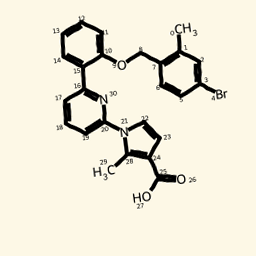 Cc1cc(Br)ccc1COc1ccccc1-c1cccc(-n2ccc(C(=O)O)c2C)n1